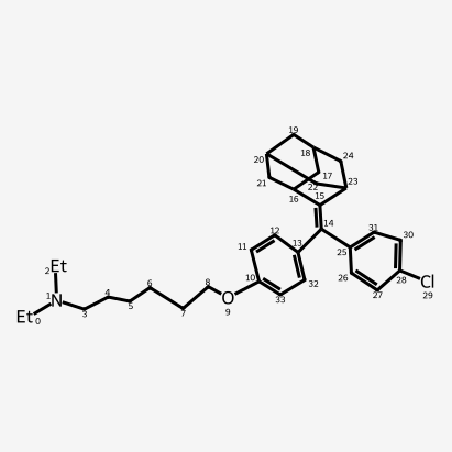 CCN(CC)CCCCCCOc1ccc(C(=C2C3CC4CC(C3)CC2C4)c2ccc(Cl)cc2)cc1